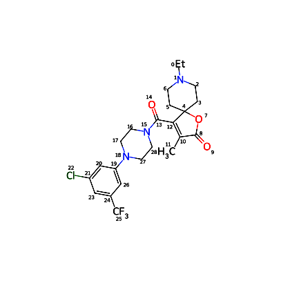 CCN1CCC2(CC1)OC(=O)C(C)=C2C(=O)N1CCN(c2cc(Cl)cc(C(F)(F)F)c2)CC1